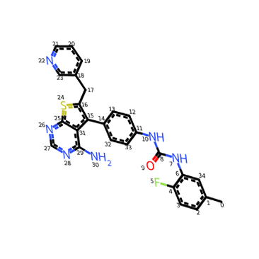 Cc1ccc(F)c(NC(=O)Nc2ccc(-c3c(Cc4cccnc4)sc4ncnc(N)c34)cc2)c1